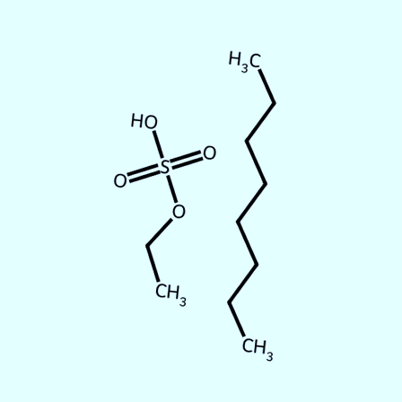 CCCCCCCC.CCOS(=O)(=O)O